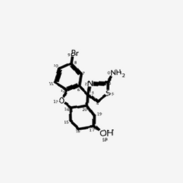 NC1=NC2(CS1)c1cc(Br)ccc1OC1CCC(O)CC12